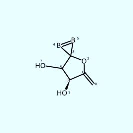 C=C1OC2(B=B2)C(O)[C@@H]1O